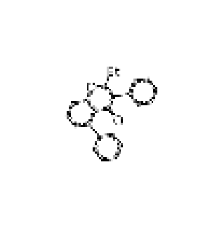 CCc1oc2cccc(-c3ccccc3)c2c(=O)c1-c1ccccc1